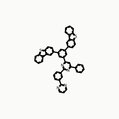 c1ccc(-c2cc(-c3cc(-c4ccc5sc6ccccc6c5c4)cc(-c4ccc5sc6ccccc6c5c4)c3)nc(-c3cccc(-c4ncccn4)c3)n2)cc1